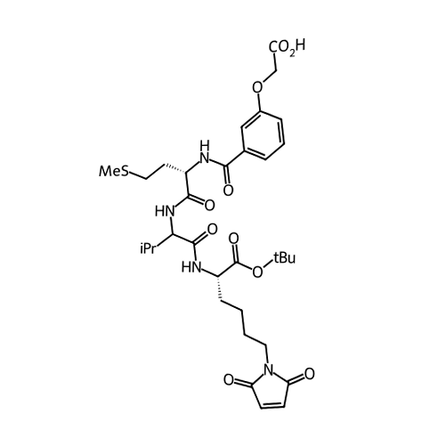 CSCC[C@H](NC(=O)c1cccc(OCC(=O)O)c1)C(=O)NC(C(=O)N[C@@H](CCCCN1C(=O)C=CC1=O)C(=O)OC(C)(C)C)C(C)C